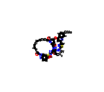 C=C[C@@H]1C[C@@]12NC(=O)[C@@H]1C[C@@H](Oc3cc(-c4csc(NC(C)C)n4)nc4cc(OC)ccc34)CN1C(=O)CCCCCCCCC(=O)Nc1ccccc1S(=O)(=O)NC2=O